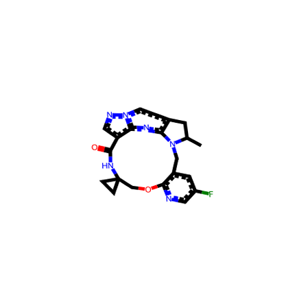 CC1Cc2cn3ncc4c3nc2N1Cc1cc(F)cnc1OCC1(CC1)NC4=O